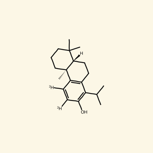 [2H]c1c([2H])c2c(c(C(C)C)c1O)CC[C@H]1C(C)(C)CCC[C@]21C